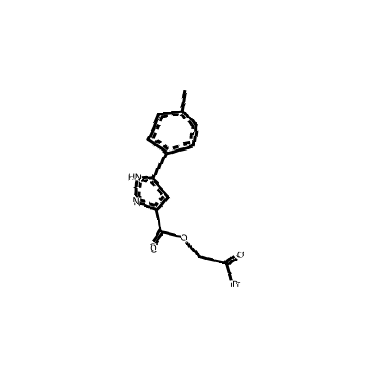 Cc1ccc(-c2cc(C(=O)OCC(=O)C(C)C)n[nH]2)cc1